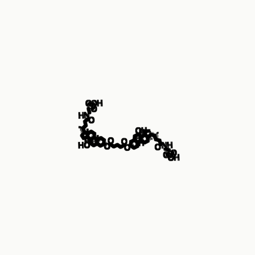 C[C@H](CCC(=O)NCCS(=O)(=O)O)[C@H]1CC[C@H]2[C@@H]3[C@@H](O)CC4C[C@H](OC(=O)CCCC(=O)O[C@H]5CC[C@]6(C)C(C5)C[C@@H](O)[C@@H]5[C@H]7CC[C@@H]([C@@H](C)CCC(=O)NCCS(=O)(=O)O)[C@]7(C)CC[C@H]56)CC[C@]4(C)[C@H]3CC[C@]12C